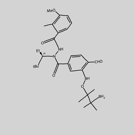 BC(C)(C)C(C)(C)OBc1cc(C(=O)N(NC(=O)c2cccc(OC)c2C)[C@H](CC)C(C)(C)C)ccc1C=O